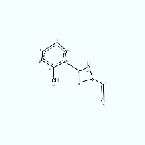 O=CC1CC(c2ccccc2O)N1